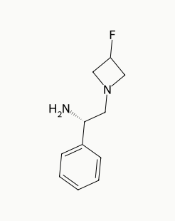 N[C@H](CN1CC(F)C1)c1ccccc1